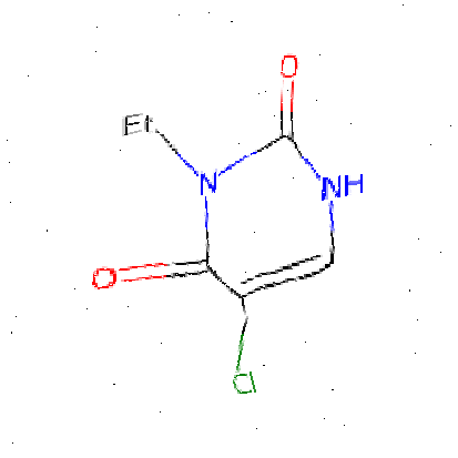 CCn1c(=O)[nH]cc(Cl)c1=O